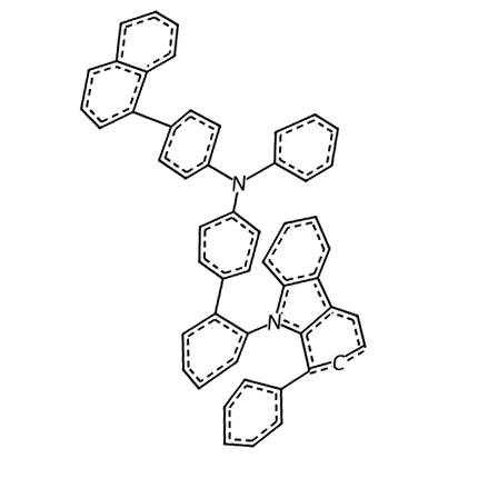 c1ccc(-c2cccc3c4ccccc4n(-c4ccccc4-c4ccc(N(c5ccccc5)c5ccc(-c6cccc7ccccc67)cc5)cc4)c23)cc1